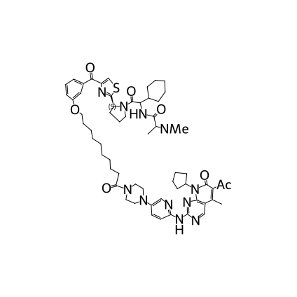 CNC(C)C(=O)NC(C(=O)N1CCC[C@H]1c1nc(C(=O)c2cccc(OCCCCCCCCCC(=O)N3CCN(c4ccc(Nc5ncc6c(C)c(C(C)=O)c(=O)n(C7CCCC7)c6n5)nc4)CC3)c2)cs1)C1CCCCC1